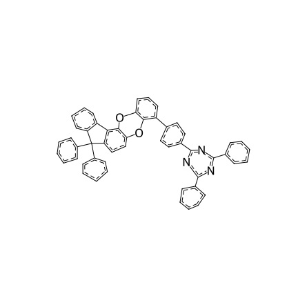 c1ccc(-c2nc(-c3ccccc3)nc(-c3ccc(-c4cccc5c4Oc4ccc6c(c4O5)-c4ccccc4C6(c4ccccc4)c4ccccc4)cc3)n2)cc1